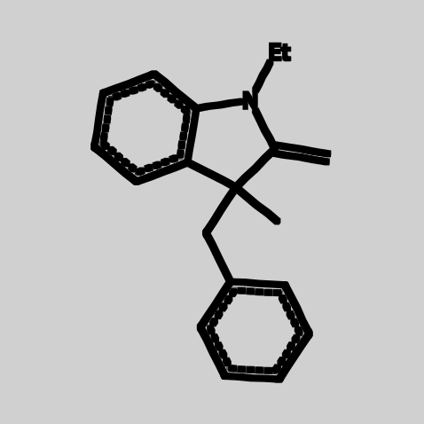 C=C1N(CC)c2ccccc2C1(C)Cc1ccccc1